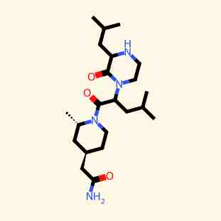 CC(C)CC1NCCN(C(CC(C)C)C(=O)N2CC[C@@H](CC(N)=O)C[C@@H]2C)C1=O